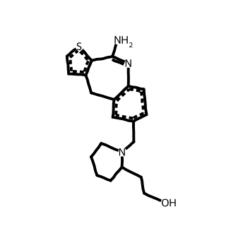 NC1=Nc2ccc(CN3CCCCC3CCO)cc2Cc2ccsc21